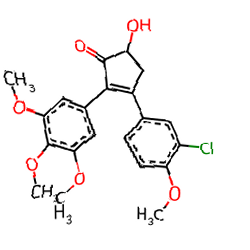 COc1ccc(C2=C(c3cc(OC)c(OC)c(OC)c3)C(=O)C(O)C2)cc1Cl